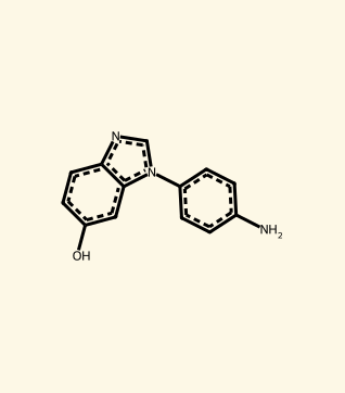 Nc1ccc(-n2cnc3ccc(O)cc32)cc1